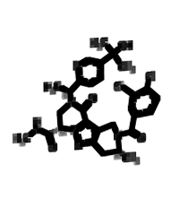 CNC(=O)[C@@H]1CN([C@@H](C)c2ccc(C(C)(C)O)cn2)C(=O)c2c3c(nn21)C[C@@H](C)N(C(=O)c1ccc(Cl)c(Cl)c1)C3